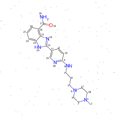 CN1CCN(CCCNc2ccc(-c3nc4c(C(N)=O)cccc4[nH]3)cn2)CC1